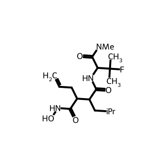 C=CCC(C(=O)NO)C(CC(C)C)C(=O)NC(C(=O)NC)C(C)(C)F